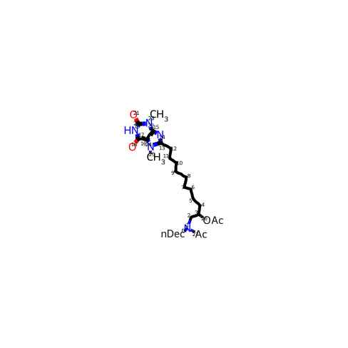 CCCCCCCCCCN(CC(CCCCCCCCCc1nc2c(c(=O)[nH]c(=O)n2C)n1C)OC(C)=O)C(C)=O